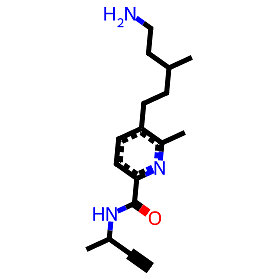 C#CC(C)NC(=O)c1ccc(CCC(C)CCN)c(C)n1